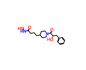 O=C(CCCC1CCN(C(=O)[C@H](O)Cc2ccccc2)CC1)NO